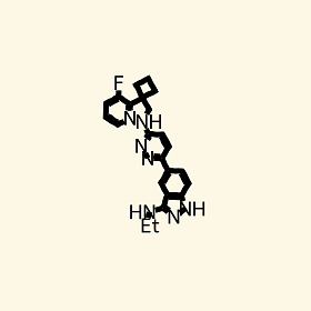 CCNc1n[nH]c2ccc(-c3ccc(NCC4(c5ncccc5F)CCC4)nn3)cc12